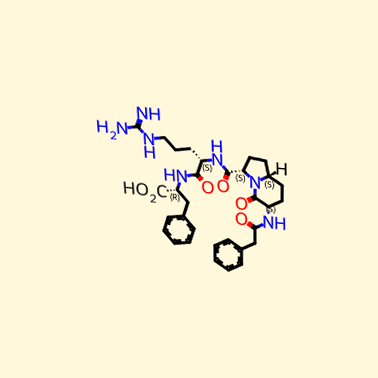 N=C(N)NCCC[C@H](NC(=O)[C@@H]1CC[C@@H]2CC[C@H](NC(=O)Cc3ccccc3)C(=O)N21)C(=O)N[C@H](Cc1ccccc1)C(=O)O